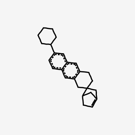 C1=C2CC(C1)C1(CCc3cc4cc(C5CCCCC5)ccc4cc3C1)C2